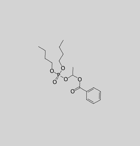 CCCCOP(=O)(OCCCC)OC(C)OC(=O)c1ccccc1